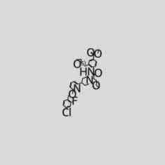 COCC(C(=O)Nc1ccc(C(=O)OC)cc1C[C@H]1CCO1)N1CCC(c2cccc(OCc3ccc(Cl)cc3F)n2)CC1